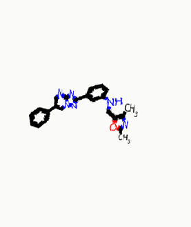 Cc1nc(C)c(CNc2cccc(-c3nc4ncc(-c5ccccc5)cn4n3)c2)o1